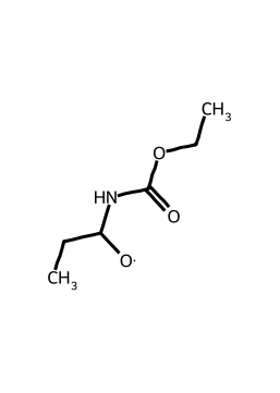 CCOC(=O)NC([O])CC